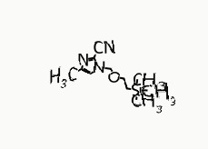 Cc1cn(COCC[Si](C)(C)C)c(C#N)n1